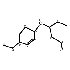 CCCC(CC)OC1C=CC(CC)CC1